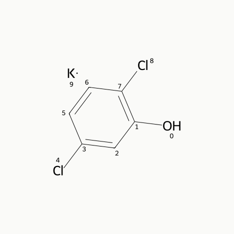 Oc1cc(Cl)ccc1Cl.[K]